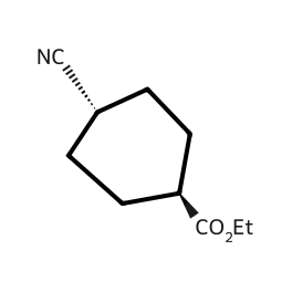 CCOC(=O)[C@H]1CC[C@H](C#N)CC1